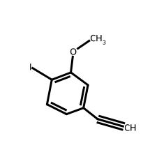 C#Cc1ccc(I)c(OC)c1